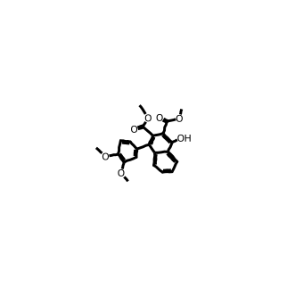 COC(=O)c1c(C(=O)OC)c(-c2ccc(OC)c(OC)c2)c2ccccc2c1O